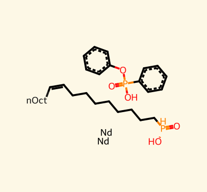 CCCCCCCC/C=C\CCCCCCCC[PH](=O)O.O=P(O)(Oc1ccccc1)c1ccccc1.[Nd].[Nd]